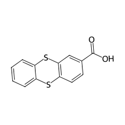 O=C(O)c1ccc2c(c1)Sc1ccccc1S2